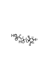 C/C(=C\CC(O)COc1c(I)cc(I)cc1I)C(=O)O